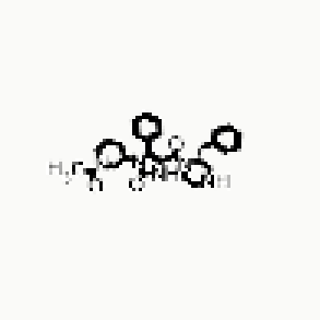 CC(=O)N1CCCC(n2c(-c3ccccc3)c(C(=O)N3CCNC[C@H]3Cc3ccccc3)[nH]c2=O)C1